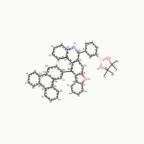 CC1(C)OB(c2cccc(-c3nc4ccccc4c4c(-c5ccc6c7ccccc7c7ccccc7c6c5)c5c(cc34)oc3ccccc35)c2)OC1(C)C